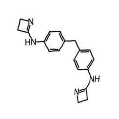 c1cc(NC2=NCC2)ccc1Cc1ccc(NC2=NCC2)cc1